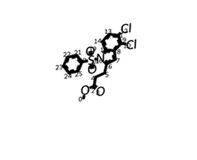 COC(=O)CCc1cc2c(Cl)c(Cl)ccc2n1S(=O)(=O)c1ccccc1